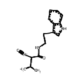 [C-]#[N+]C(C(=O)NCCc1c[nH]c2ccccc12)C(C)C